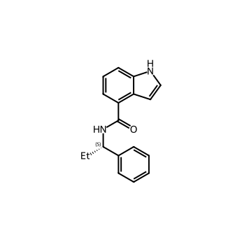 CC[C@H](NC(=O)c1cccc2[nH]ccc12)c1ccccc1